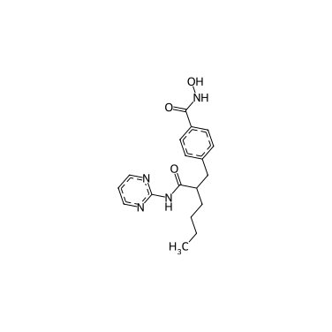 CCCCC(Cc1ccc(C(=O)NO)cc1)C(=O)Nc1ncccn1